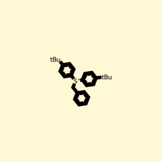 CC(C)(C)c1ccc([S+](Cc2ccccc2)c2ccc(C(C)(C)C)cc2)cc1